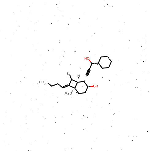 CCC1C(=CCCC(=O)O)[C@]2(OC)CC[C@H](O)[C@@H](C#CC(O)C3CCCCC3)[C@H]12